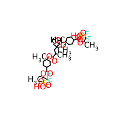 CCC(C)(CC(C)C(=O)OC1(C)CCC(C(=O)OC(C)C(F)(F)S(=O)(=O)O)CC1)C(=O)OC1(C)CCC(C(=O)OC(C)C(F)(F)S(=O)(=O)O)CC1